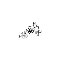 Cc1ccc(C(=O)NC2CC2)cc1NC(=O)c1cccc(N2CCN(C(C(=O)O)C(C)(C)C)CC2)c1[N+](=O)[O-]